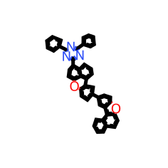 c1ccc(-c2nc(-c3ccccc3)nc(-c3ccc4c5c(cccc35)-c3cc(-c5ccc6oc7ccc8ccccc8c7c6c5)ccc3O4)n2)cc1